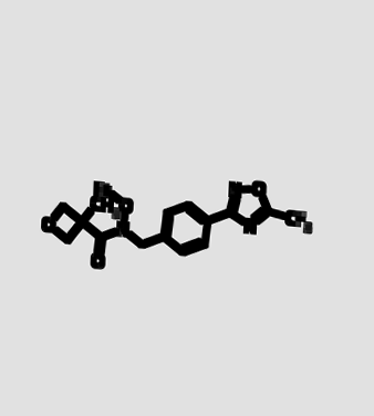 CCON(Cc1ccc(-c2noc(C(F)(F)F)n2)cc1)C(=O)C1(C)COC1